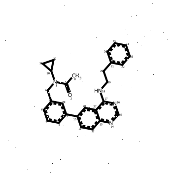 CC(=O)N(Cc1cccc(-c2ccc3ncnc(NCCc4ccccc4)c3c2)c1)C1CC1